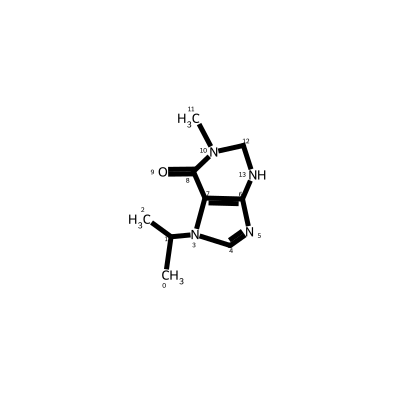 CC(C)n1cnc2c1C(=O)N(C)CN2